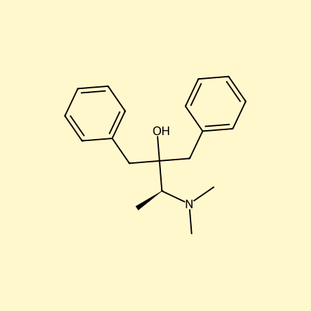 C[C@H](N(C)C)C(O)(Cc1ccccc1)Cc1ccccc1